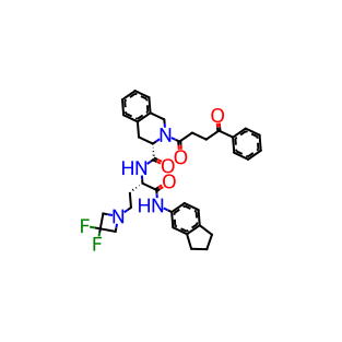 O=C(CCC(=O)N1Cc2ccccc2C[C@H]1C(=O)N[C@@H](CCN1CC(F)(F)C1)C(=O)Nc1ccc2c(c1)CCC2)c1ccccc1